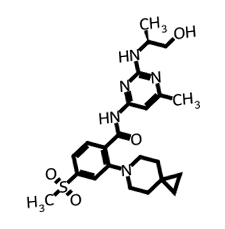 Cc1cc(NC(=O)c2ccc(S(C)(=O)=O)cc2N2CCC3(CC2)CC3)nc(N[C@@H](C)CO)n1